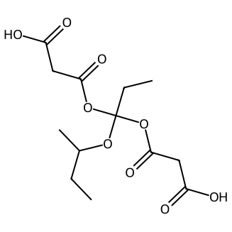 CCC(C)OC(CC)(OC(=O)CC(=O)O)OC(=O)CC(=O)O